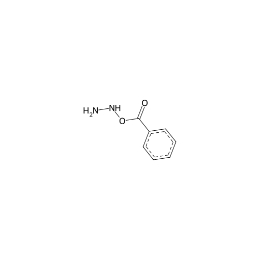 NNOC(=O)c1ccccc1